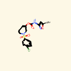 CC(C)(C)c1cc(NC(=O)OC2CCCN(S(=O)(=O)c3ccc(Cl)cc3)C2)no1